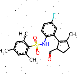 CC1=C(c2cc(F)ccc2NS(=O)(=O)c2c(C)cc(C)cc2C)C(C=O)CC1